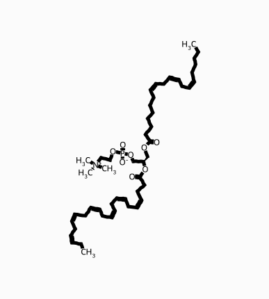 CC/C=C\C/C=C\C/C=C\C/C=C\C/C=C\C/C=C\CCC(=O)O[C@H](COC(=O)CCCCCC/C=C\C/C=C\C/C=C\CCCCC)COP(=O)([O-])OCC[N+](C)(C)C